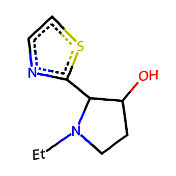 CCN1CCC(O)C1c1nccs1